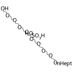 CCCCCCCOCCOCCOCCOCCOCCOCCOCCOCCOCCO.O=S(=O)(O)O